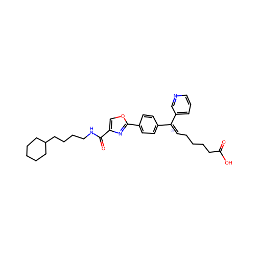 O=C(O)CCCC/C=C(/c1ccc(-c2nc(C(=O)NCCCCC3CCCCC3)co2)cc1)c1cccnc1